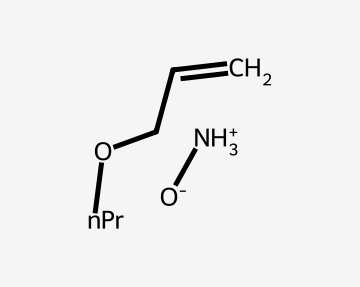 C=CCOCCC.[NH3+][O-]